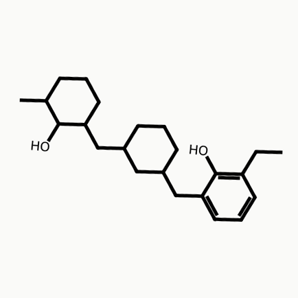 CCc1cccc(CC2CCCC(CC3CCCC(C)C3O)C2)c1O